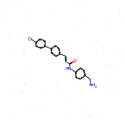 NCc1ccc(NC(=O)C=Cc2ccc(-c3ccc(Cl)cc3)cc2)cc1